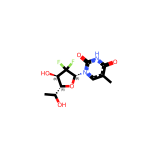 Cc1cn([C@@H]2O[C@H](C(C)O)[C@@H](O)C2(F)F)c(=O)[nH]c1=O